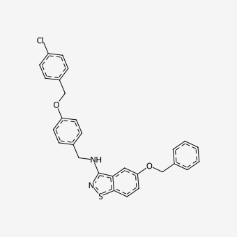 Clc1ccc(COc2ccc(CNc3nsc4ccc(OCc5ccccc5)cc34)cc2)cc1